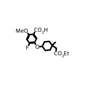 CCOC(=O)CC1(C)CCC(Oc2cc(C(=O)O)c(OC)cc2F)CC1